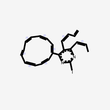 C=C/C=C\c1c(/C=C\C)nc(I)nc1C1=C/C=C\C=C/C=C\C=C/C=C\1